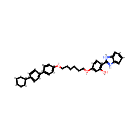 Oc1cc(OCCCCCCOc2ccc(-c3ccc(C4CCCCC4)cc3)cc2)ccc1-c1nc2ccccc2[nH]1